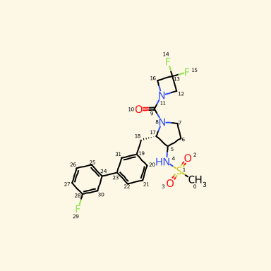 CS(=O)(=O)NC1CCN(C(=O)N2CC(F)(F)C2)[C@H]1Cc1cccc(-c2cccc(F)c2)c1